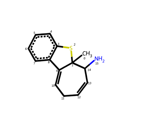 CC12Sc3ccccc3C1=CCC=CC2N